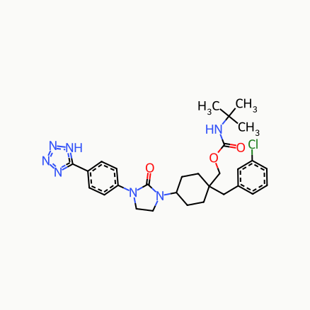 CC(C)(C)NC(=O)OCC1(Cc2cccc(Cl)c2)CCC(N2CCN(c3ccc(-c4nnn[nH]4)cc3)C2=O)CC1